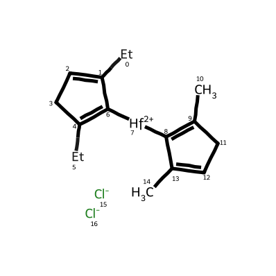 CCC1=CCC(CC)=[C]1[Hf+2][C]1=C(C)CC=C1C.[Cl-].[Cl-]